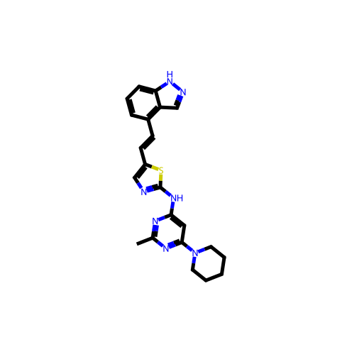 Cc1nc(Nc2ncc(/C=C/c3cccc4[nH]ncc34)s2)cc(N2CCCCC2)n1